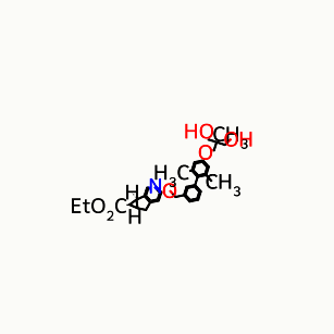 CCOC(=O)[C@H]1[C@@H]2Cc3cc(OCc4cccc(-c5c(C)cc(OCC(C)(CO)CO)cc5C)c4)ncc3[C@@H]21